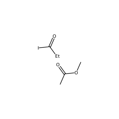 CCC(=O)I.COC(C)=O